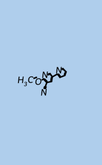 CCOc1ncc(-c2ccccn2)cc1C#N